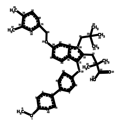 COc1ccc(-c2ccc(Sc3c(CC(C)(C)C(=O)O)n(CC(C)(C)C)c4cc(OCc5ccc(C)c(C)n5)ccc34)cc2)cn1